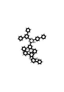 c1ccc(-c2ccc(C3N=C(c4cc(-c5ccccc5)cc(-c5ccccc5)c4)N=C(c4cc(-c5ccccc5)c(-n5c6ccccc6c6c7oc8ccc9c%10ccccc%10oc9c8c7ccc65)c(-c5ccccc5)c4)N3)cc2)cc1